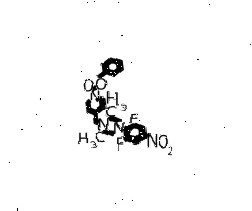 C[C@@H]1CN(c2c(F)cc([N+](=O)[O-])cc2F)C[C@H](C)N1CC1CCN(C(=O)OCc2ccccc2)CC1